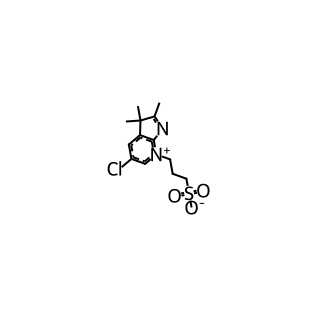 CC1=Nc2c(cc(Cl)c[n+]2CCCS(=O)(=O)[O-])C1(C)C